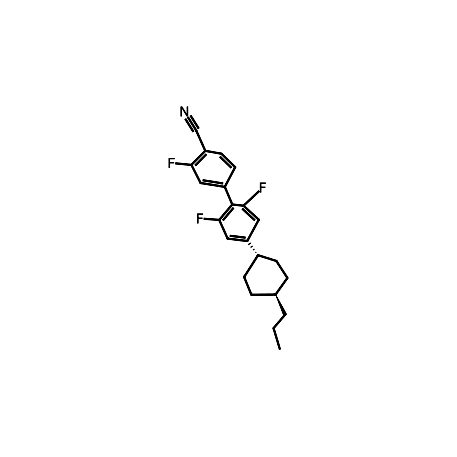 CCC[C@H]1CC[C@H](c2cc(F)c(-c3ccc(C#N)c(F)c3)c(F)c2)CC1